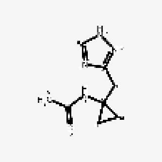 CC(=O)NC1(Cc2nc[nH]n2)CC1